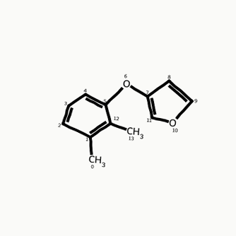 Cc1cccc(Oc2ccoc2)c1C